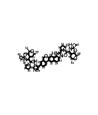 COC(=O)N[C@H](C(=O)N1C(c2nc3ccc4cc5c(cc4c3[nH]2)OCc2cc(-c3cnc([C@@H]4CC[C@H](C)N4C(=O)[C@@H](NC(=O)OC)C4C[C@@H](C)O[C@H](C)C4)[nH]3)ccc2-5)CC[C@@H]1C)C1C[C@@H](C)O[C@H](C)C1